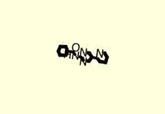 O=C(Nc1ncc(-c2ccccn2)cn1)c1ccccc1